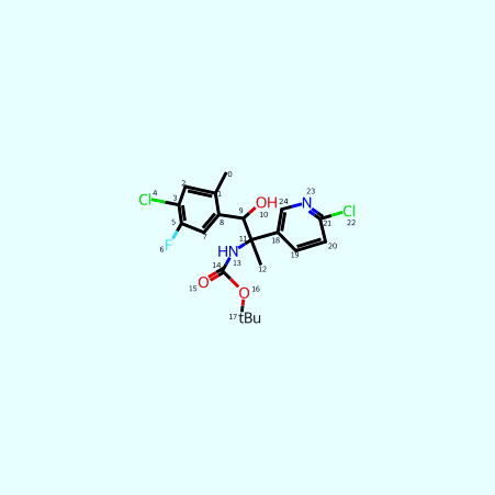 Cc1cc(Cl)c(F)cc1C(O)C(C)(NC(=O)OC(C)(C)C)c1ccc(Cl)nc1